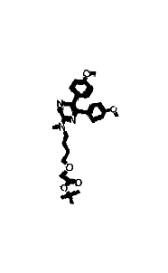 COc1ccc(-c2ncc(N(C)CCCCOCC(=O)OC(C)(C)C)nc2-c2ccc(OC)cc2)cc1